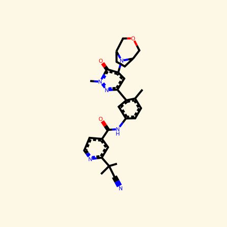 Cc1ccc(NC(=O)c2ccnc(C(C)(C)C#N)c2)cc1-c1cc(N2C3CCC2COC3)c(=O)n(C)n1